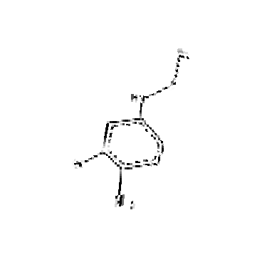 CCSNc1ccc(N)c(Br)c1